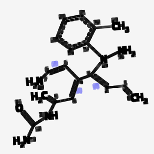 C=C/C=C(C(/C=C\N)=C/C(=C)NC(N)=O)\N(N)c1ccccc1C